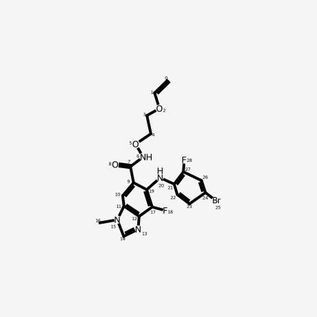 C=COCCONC(=O)c1cc2c(ncn2C)c(F)c1Nc1ccc(Br)cc1F